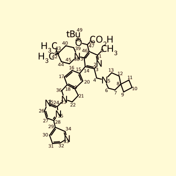 Cc1nc(CN2CCC3(CCC3)CC2)c(-c2ccc3c(c2)CCN(c2nccc(-c4cccnc4)n2)C3)c(N2CCC(C)(C)CC2)c1C(OC(C)(C)C)C(=O)O